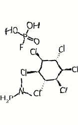 CN(C)P.Cl[C@H]1[C@H](Cl)[C@@H](Cl)[C@@H](Cl)[C@H](Cl)[C@H]1Cl.O=P(O)(O)F